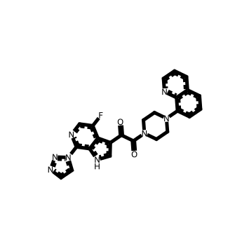 O=C(C(=O)N1CCN(c2cccc3cccnc23)CC1)c1c[nH]c2c(-n3ccnn3)ncc(F)c12